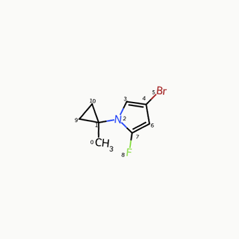 CC1(n2cc(Br)cc2F)CC1